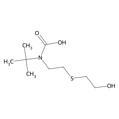 CC(C)(C)N(CCSCCO)C(=O)O